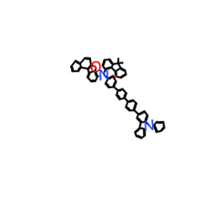 CC1(C)c2ccccc2-c2c(N(c3ccc(-c4ccc(-c5ccc(-c6ccc7c(c6)c6ccccc6n7-c6ccccc6)cc5)cc4)cc3)c3cccc4c3oc3ccc5ccccc5c34)cccc21